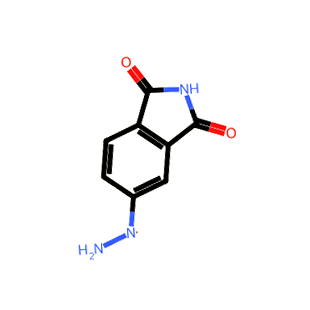 N[N]c1ccc2c(c1)C(=O)NC2=O